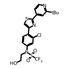 CC(C)(C)c1cc(-c2nc(-c3ccc(N(CCO)S(=O)(=O)C(F)(F)F)cc3Cl)cs2)ccn1